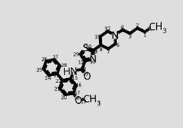 CCCCCN1CCC(c2nc(C(=O)Nc3cc(OC)ccc3-c3ccccc3)cs2)CC1